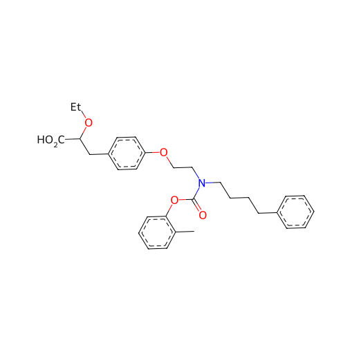 CCOC(Cc1ccc(OCCN(CCCCc2ccccc2)C(=O)Oc2ccccc2C)cc1)C(=O)O